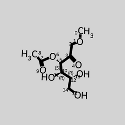 COCC(=O)[C@@H](OC(C)=O)[C@H](O)[C@H](O)CO